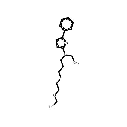 CCOCCOCCCN(CC)c1nc(-c2ccccc2)cs1